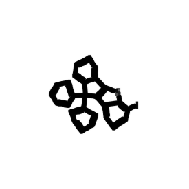 Ic1cccc2c3c(sc12)-c1ccccc1C3(c1ccccc1)c1ccccc1